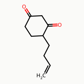 C=CCCC1CCC(=O)CC1=O